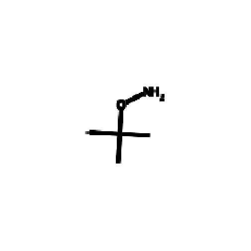 [CH2]C(C)(C)ON